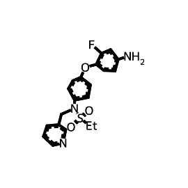 CCS(=O)(=O)N(Cc1cccnc1)c1ccc(Oc2ccc(N)cc2F)cc1